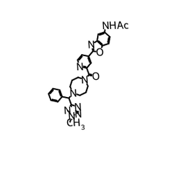 CC(=O)Nc1ccc2oc(-c3ccnc(C(=O)N4CCCN(C(c5ccccc5)c5nnn(C)n5)CCC4)c3)nc2c1